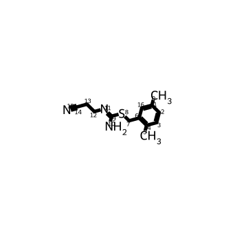 Cc1ccc(C)c(CS/C(N)=N/CCC#N)c1